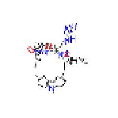 COC(=O)[C@@H]1CC=CCc2ccc3c(c2)c2cc(ccc2n3C)CC(NC(C)=O)C(=O)N[C@H](CCCNC(C)=N)C(=O)N1